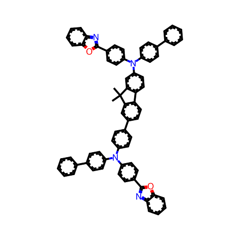 CC1(C)c2cc(-c3ccc(N(c4ccc(-c5ccccc5)cc4)c4ccc(-c5nc6ccccc6o5)cc4)cc3)ccc2-c2ccc(N(c3ccc(-c4ccccc4)cc3)c3ccc(-c4nc5ccccc5o4)cc3)cc21